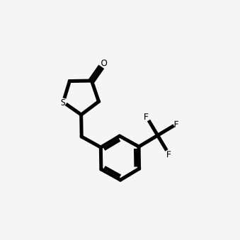 O=C1CSC(Cc2cccc(C(F)(F)F)c2)C1